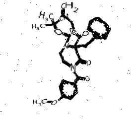 C=CCOC(=O)C1(Cc2ccccc2)C(=O)N(C(=O)c2ccc(OC)cc2)CCN1C(=O)OC(C)(C)C